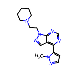 Cn1nccc1-c1ncnc2c1cnn2CCN1CCCCC1